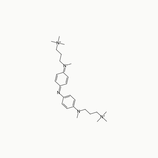 CN(CCC[N+](C)(C)C)c1ccc(N=C2C=CC(=[N+](C)CCC[N+](C)(C)C)C=C2)cc1